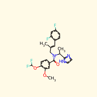 COc1cc(C(=O)N(CC(C)=Cc2ccc(F)cc2F)C(C)c2ncc[nH]2)ccc1OC(F)F